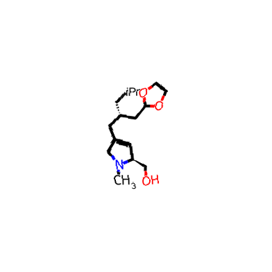 CC(C)C[C@@H](CC1=C[C@@H](CO)N(C)C1)CC1OCCO1